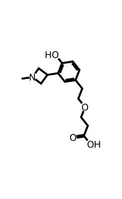 CN1CC(c2cc(CCOCCC(=O)O)ccc2O)C1